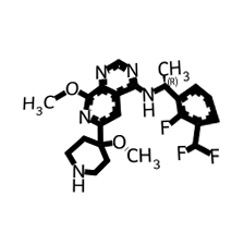 COc1nc(C2(OC)CCNCC2)cc2c(N[C@H](C)c3cccc(C(F)F)c3F)ncnc12